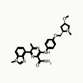 CO[C@H]1C[C@H](COc2ccc(Nc3nc(C)c(-c4cccc5c4ncn5C)nc3C(N)=O)cc2)N(C)C1